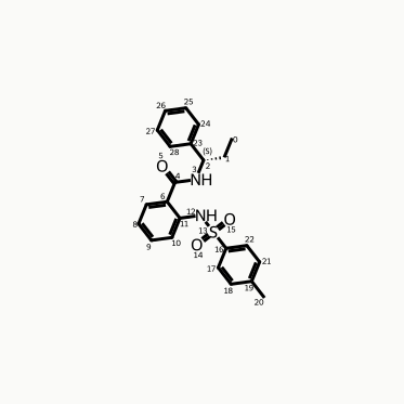 CC[C@H](NC(=O)c1ccccc1NS(=O)(=O)c1ccc(C)cc1)c1ccccc1